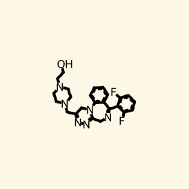 OCCN1CCN(CC2=NN=C3CN=C(c4c(F)cccc4F)c4ccccc4N3C2)CC1